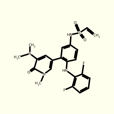 C=CS(=O)(=O)Nc1ccc(Nc2c(F)cccc2F)c(-c2cc(N(C)C)c(=O)n(C)c2)c1